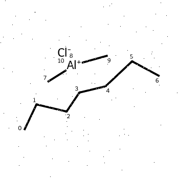 CCCCCCC.[CH3][Al+][CH3].[Cl-]